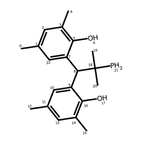 Cc1cc(C)c(O)c(C(c2cc(C)cc(C)c2O)C(C)(C)P)c1